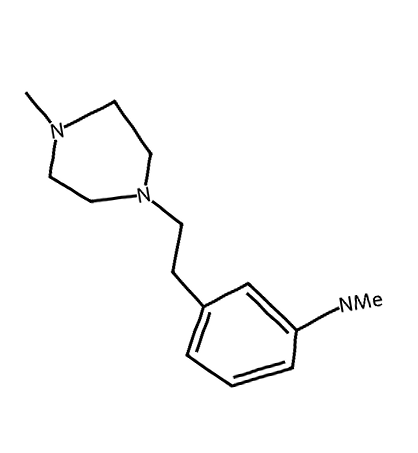 CNc1cccc(CCN2CCN(C)CC2)c1